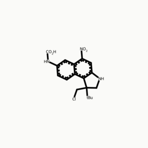 CC(C)(C)C1(CCl)CNc2cc([N+](=O)[O-])c3cc(NC(=O)O)ccc3c21